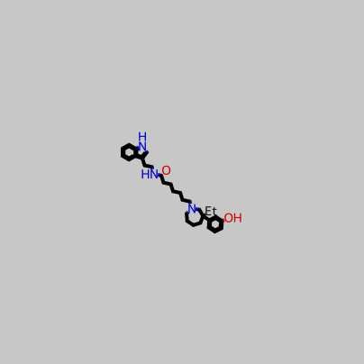 CC[C@@]1(c2cccc(O)c2)CCCCN(CCCCCCC(=O)NCCc2c[nH]c3ccccc23)C1